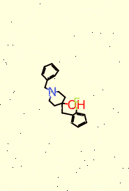 OC1(Cc2ccccc2F)CCN(Cc2ccccc2)CC1